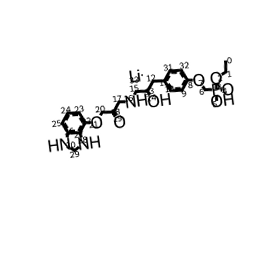 CCOP(=O)(O)COc1ccc(CC(O)CNCC(=O)COc2cccc3c2NCN3)cc1.[Li]